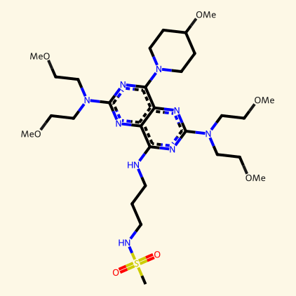 COCCN(CCOC)c1nc(N2CCC(OC)CC2)c2nc(N(CCOC)CCOC)nc(NCCCNS(C)(=O)=O)c2n1